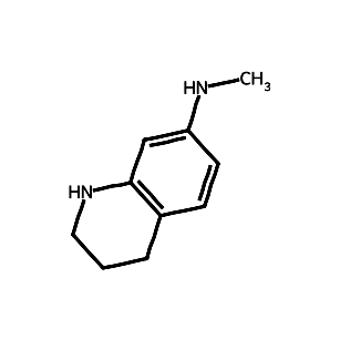 CNc1ccc2c(c1)NCCC2